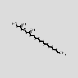 CCCCCCCCCCCCCCC(O)COCC(O)CO